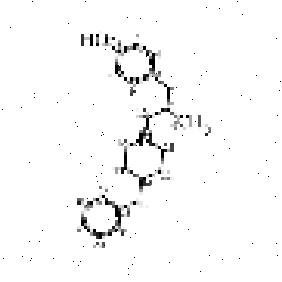 CC(Cc1ccc(O)cc1)CN1CCC(Cc2ccccc2)CC1